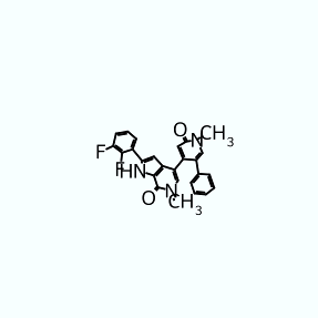 Cn1cc(-c2ccccc2)c(-c2cn(C)c(=O)c3[nH]c(-c4cccc(F)c4F)cc23)cc1=O